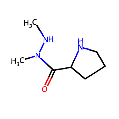 CNN(C)C(=O)C1CCCN1